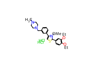 CCOc1ccc(C2SC=C(c3cccc(CN4CCN(C)CC4)c3)N2OC)cc1OCC.Cl.Cl